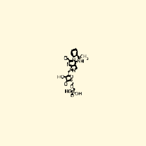 C[C@H](Nc1nc(Cl)nc2c1cnn2C[C@H]1O[C@H](COCP(=O)(O)O)C(=O)C1O)c1ccccc1